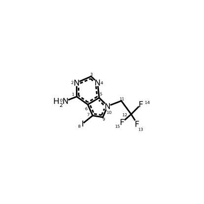 Nc1ncnc2c1c(I)cn2CC(F)(F)F